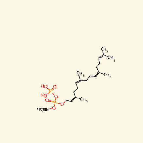 C#COP(=O)(OCC=C(C)CCC=C(C)CCC=C(C)CCC=C(C)C)OP(=O)(O)O